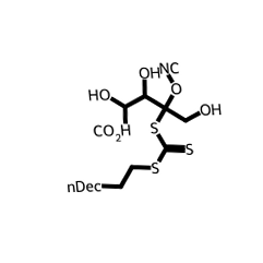 CCCCCCCCCCCCSC(=S)SC(CO)(OC#N)C(O)C(O)C(=O)O